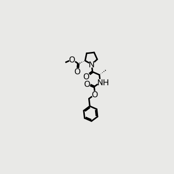 COC(=O)[C@@H]1CCCN1C(=O)[C@H](C)NC(=O)OCc1ccccc1